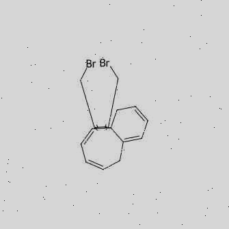 BrCC1=CC2=CC=CCC3=CC=CCC23C=C1CBr